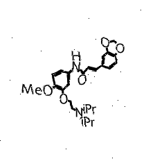 COc1ccc(NC(=O)C=Cc2ccc3c(c2)OCO3)cc1OCCN(C(C)C)C(C)C